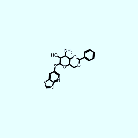 NC1C(O)C(Sc2cnc3ncsc3c2)OC2COC(c3ccccc3)OC21